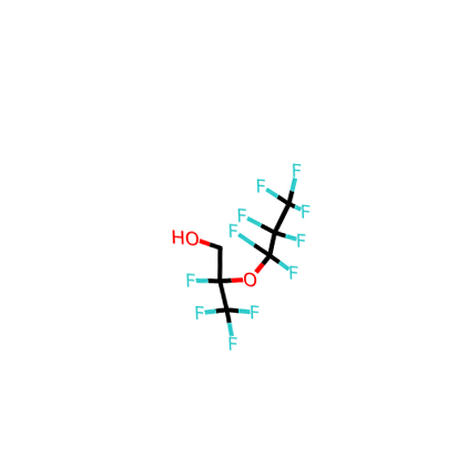 OCC(F)(OC(F)(F)C(F)(F)C(F)(F)F)C(F)(F)F